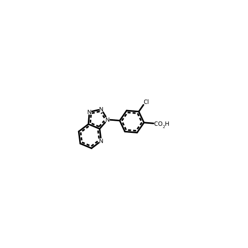 O=C(O)c1ccc(-n2nnc3cccnc32)cc1Cl